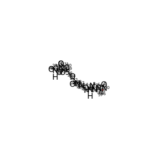 CN(C)C(=O)c1cc2cnc(Nc3ccc(N4CCN(C(=O)CCOCCSc5cccc6c5C(=O)N(C5CCC(=O)NC5=O)C6=O)CC4)cn3)nc2n1C1CCCC1